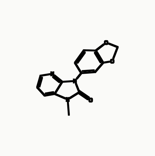 Cn1c(=O)n(-c2ccc3c(c2)OCO3)c2ncccc21